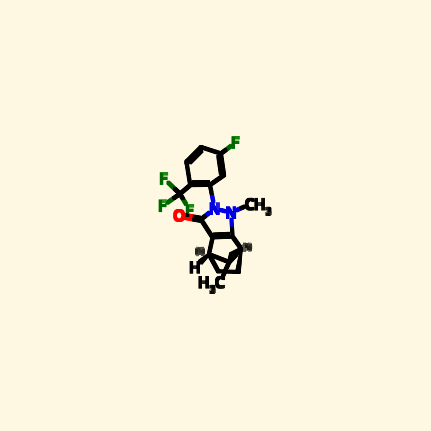 Cn1c2c(c(=O)n1-c1cc(F)ccc1C(F)(F)F)[C@H]1CC[C@@]23CC13C